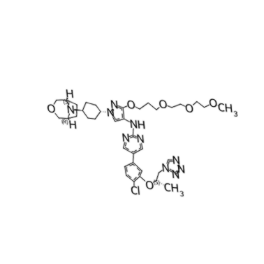 COCCOCCOCCCOc1nn([C@H]2CC[C@H](N3[C@@H]4CC[C@H]3COC4)CC2)cc1Nc1ncc(-c2ccc(Cl)c(O[C@@H](C)Cn3cnnn3)c2)cn1